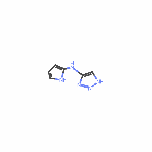 c1c[nH]c(Nc2c[nH]nn2)c1